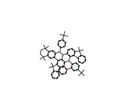 CC(C)(C)c1ccc(N2B3c4ccc5c(c4N(c4ccc(C(C)(C)C)cc4-c4ccccc4)c4cc6c(c(c43)-c3cc4c(cc32)C(C)(C)CCC4(C)C)C(C)(C)c2ccccc2-6)-c2ccccc2C5(C)C)cc1